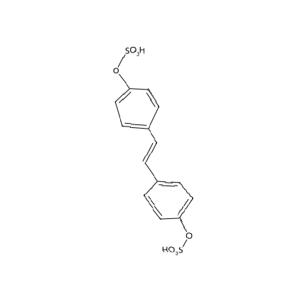 O=S(=O)(O)Oc1ccc(C=Cc2ccc(OS(=O)(=O)O)cc2)cc1